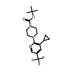 CC(C)(C)OC(=O)N1CCN(c2ncc(C(F)(F)F)cc2C2CC2)CC1